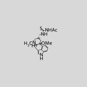 CO[C@]12C[C@@H](CNC(=S)NC(C)=O)CN(C)[C@@H]1Cc1c[nH]c3cccc2c13